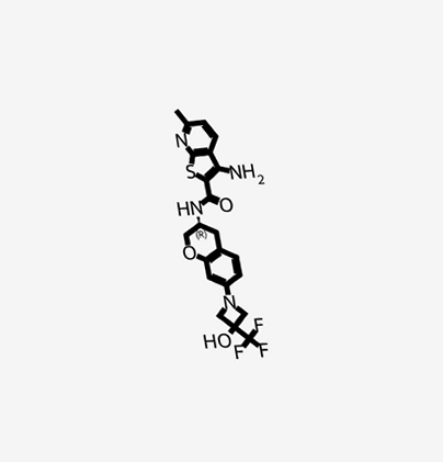 Cc1ccc2c(N)c(C(=O)N[C@H]3COc4cc(N5CC(O)(C(F)(F)F)C5)ccc4C3)sc2n1